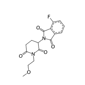 COCCN1C(=O)CCC(N2C(=O)c3cccc(F)c3C2=O)C1=O